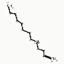 C=CC[CH2][Sb][CH2]CCCCCCC